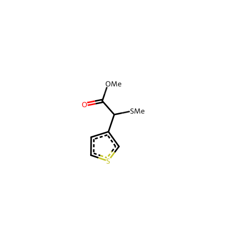 COC(=O)C(SC)c1ccsc1